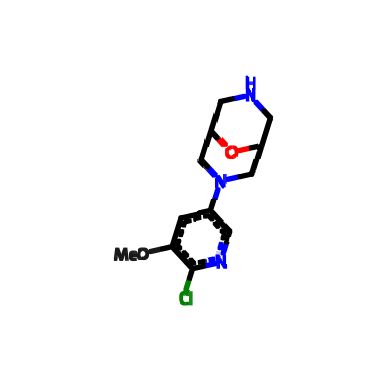 COc1cc(N2CC3CNCC(C2)O3)cnc1Cl